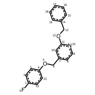 Fc1ccc(OCc2ccnc(OCc3ccccc3)c2)cc1